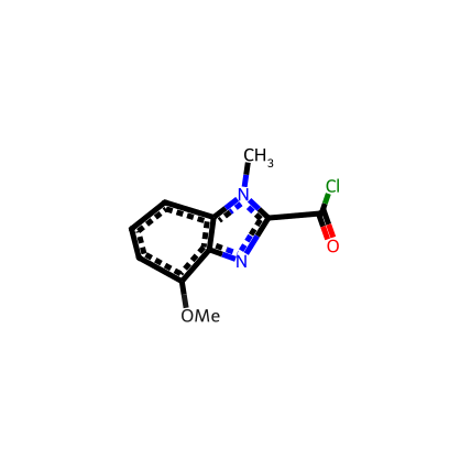 COc1cccc2c1nc(C(=O)Cl)n2C